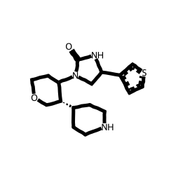 O=C1NC(c2ccsc2)CN1C1CCOC[C@H]1C1CCNCC1